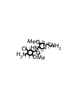 COc1cc(N)c(Cl)cc1C(=O)N[C@H]1CCN(CCN)C[C@H]1OC